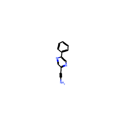 NC#Cc1cnc(-c2ccccc2)cn1